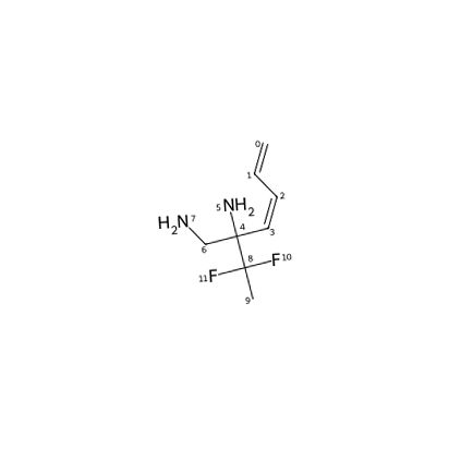 C=C/C=C\C(N)(CN)C(C)(F)F